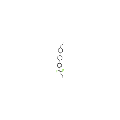 CCC/C(F)=C(\F)c1ccc([C@H]2CC[C@H](C3CCC(CCC)CC3)CC2)cc1